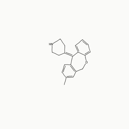 Cc1ccc2c(c1)COc1ccccc1C2=C1CCNCC1